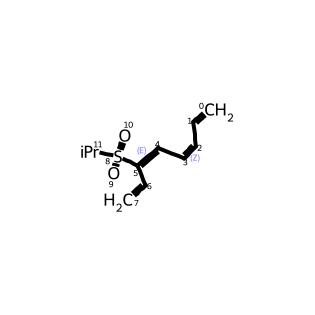 C=C/C=C\C=C(/C=C)S(=O)(=O)C(C)C